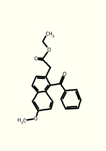 CCOC(=O)Cc1ccc2cc(OC)ccc2c1C(=O)c1ccccc1